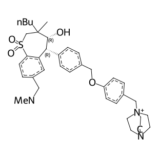 CCCCC1(C)CS(=O)(=O)c2ccc(CNC)cc2[C@@H](c2ccc(COc3ccc(C[N+]45CCN(CC4)CC5)cc3)cc2)[C@H]1O